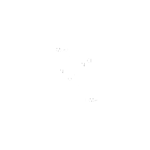 COc1ccc(-c2cn(C)c3cc(OC)cc(N4CCCCC4)c3c2=O)cc1